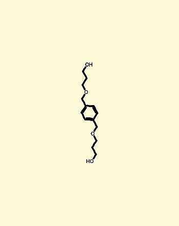 OCCCOCc1ccc(COCCCO)cc1